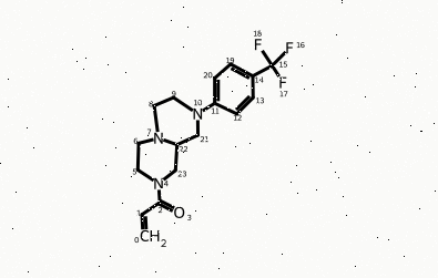 C=CC(=O)N1CCN2CCN(c3ccc(C(F)(F)F)cc3)CC2C1